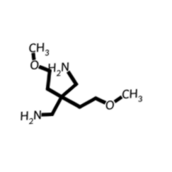 COCCC(CN)(CN)CCOC